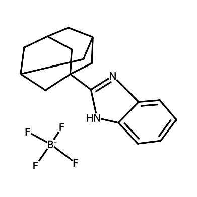 F[B-](F)(F)F.c1ccc2[nH]c(C34CC5CC(CC(C5)C3)C4)nc2c1